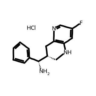 Cl.N[C@H](c1ccccc1)[C@H]1CNc2cc(F)cnc2C1